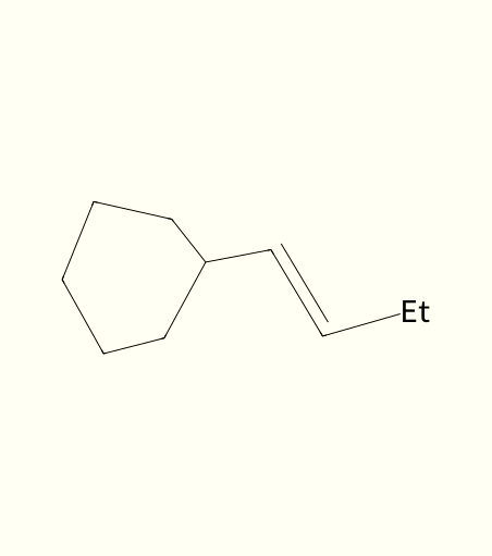 [CH2]CC=CC1CCCCC1